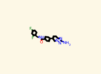 Nc1nc2ccc(-c3ccc(C(=O)NCc4ccc(F)cc4F)cc3)cn2n1